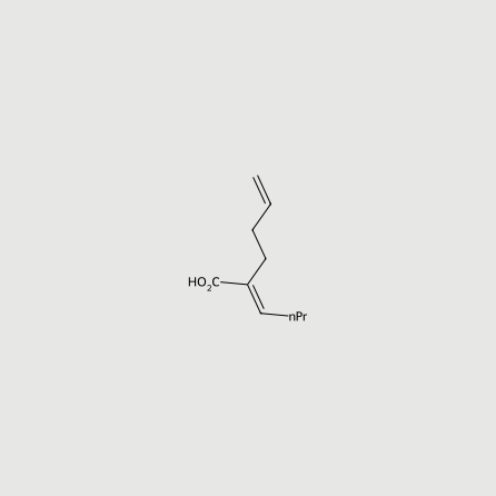 [CH2]CCC=C(CCC=C)C(=O)O